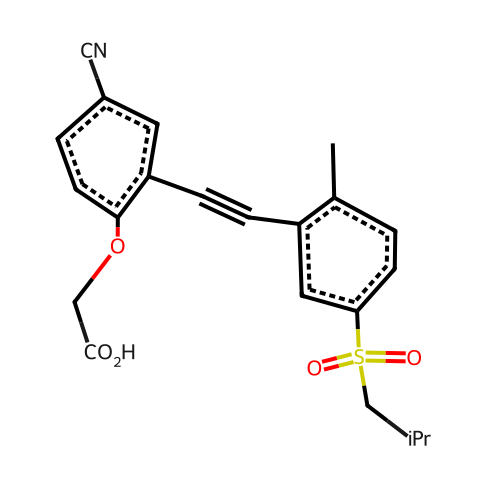 Cc1ccc(S(=O)(=O)CC(C)C)cc1C#Cc1cc(C#N)ccc1OCC(=O)O